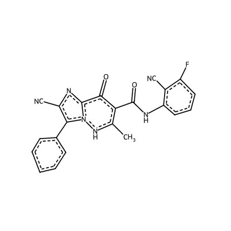 Cc1[nH]n2c(-c3ccccc3)c(C#N)nc2c(=O)c1C(=O)Nc1cccc(F)c1C#N